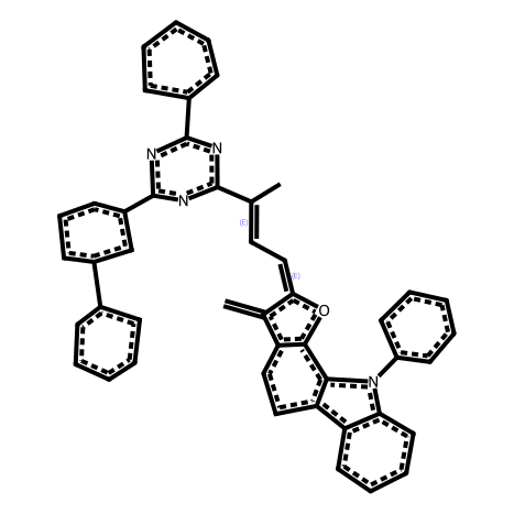 C=c1/c(=C\C=C(/C)c2nc(-c3ccccc3)nc(-c3cccc(-c4ccccc4)c3)n2)oc2c1ccc1c3ccccc3n(-c3ccccc3)c12